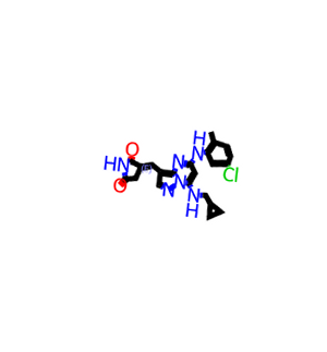 Cc1ccc(Cl)cc1Nc1cc(NCC2CC2)n2ncc(/C=C3\CC(=O)NC3=O)c2n1